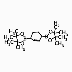 CC1(C)OB(C2C=CC(B3OC(C)(C)C(C)(C)O3)CC2)OC1(C)C